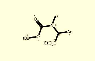 CCOC(=O)C(C(C)=O)N(C)C(=O)OC(C)(C)C